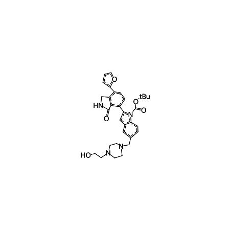 CC(C)(C)OC(=O)n1c(-c2ccc(-c3ccco3)c3c2C(=O)NC3)cc2cc(CN3CCN(CCO)CC3)ccc21